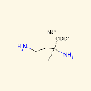 CC(N)(CCN)C(=O)[O-].[Na+]